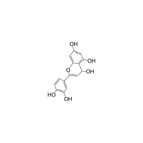 Oc1cc(O)c2c(c1)OC(c1ccc(O)c(O)c1)=CC2O